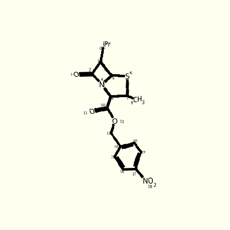 CC(C)C1C(=O)N2C1SC(C)C2C(=O)OCc1ccc([N+](=O)[O-])cc1